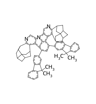 CC1(C)c2ccccc2-c2ccc(-c3cc(-c4ccc5c(c4)C(C)(C)c4ccccc4-5)c4c5c6c(ncc5n5c7cnc8c(c7c3c45)C3CC4CC5CC8CC54C3)C3CC4CC5CC6CC45C3)cc21